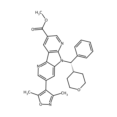 COC(=O)c1cnc2c(c1)c1ncc(-c3c(C)noc3C)cc1n2[C@H](c1ccccc1)C1CCOCC1